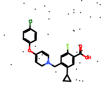 O=C(O)c1cc(C2CC2)c(CN2C=CC(Oc3ccc(Cl)cc3)=CC2)cc1F